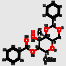 CO[C@H]1OC2COC(c3ccccc3)O[C@@H]2[C@H](O)C1OC(=O)c1ccccc1